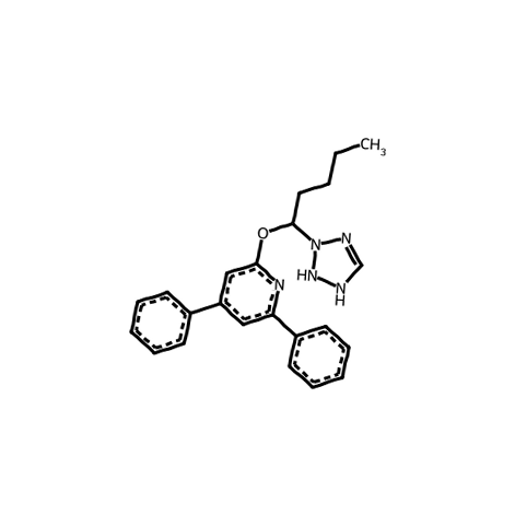 CCCCC(Oc1cc(-c2ccccc2)cc(-c2ccccc2)n1)N1N=CNN1